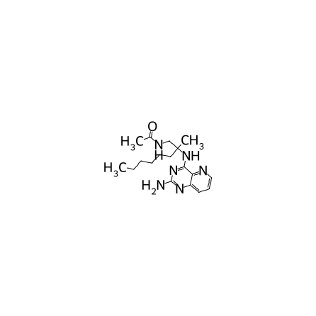 CCCCCCC(C)(CNC(C)=O)Nc1nc(N)nc2cccnc12